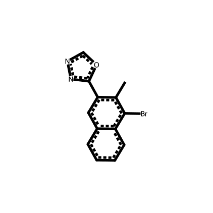 Cc1c(-c2nnco2)cc2ccccc2c1Br